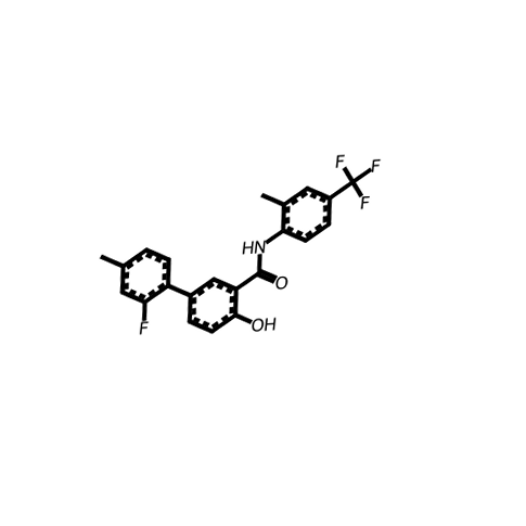 Cc1ccc(-c2ccc(O)c(C(=O)Nc3ccc(C(F)(F)F)cc3C)c2)c(F)c1